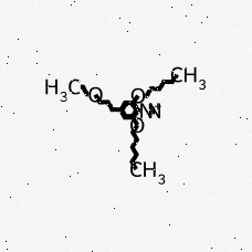 CCCCCCOc1cc(CCCOCCC)cc(OCCCCCC)c1[N+]#N